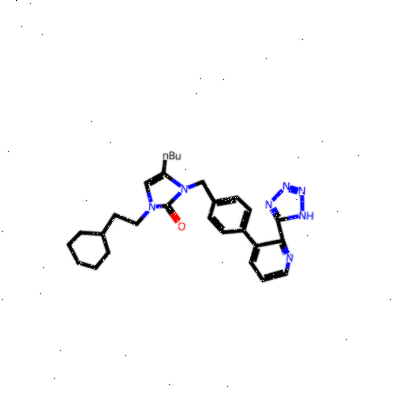 CCCCc1cn(CCC2CCCCC2)c(=O)n1Cc1ccc(-c2cccnc2-c2nnn[nH]2)cc1